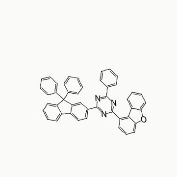 c1ccc(-c2nc(-c3ccc4c(c3)C(c3ccccc3)(c3ccccc3)c3ccccc3-4)nc(-c3cccc4oc5ccccc5c34)n2)cc1